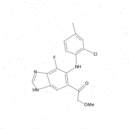 COCC(=O)c1cc2[nH]cnc2c(F)c1Nc1ccc(C)cc1Cl